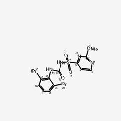 COc1nccc(S(=O)(=O)NC(=O)Nc2c(C(C)C)cccc2C(C)C)n1